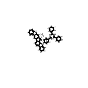 CC1(C)c2cc3oc4ccccc4c3cc2-c2ccc3c4ccccc4n(-c4ccc(-c5nc(-c6ccccc6)nc(-c6ccccc6)n5)cc4)c3c21